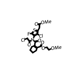 COCCOC(=O)C1=C(C(=O)N(C(=O)CCl)c2c(F)sc(CC(=O)OC)c2Cl)CCCC1